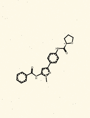 Cn1nc(-c2ccc(NC(=O)[C@H]3CCCO3)cc2)cc1NC(=O)c1ccccc1